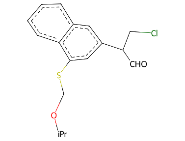 CC(C)OCSc1cc(C(C=O)CCl)cc2ccccc12